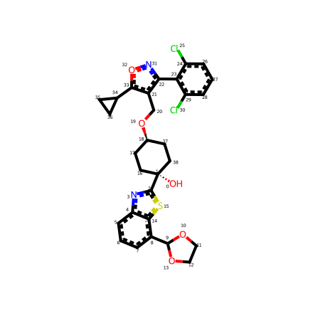 O[C@]1(c2nc3cccc(C4OCCO4)c3s2)CC[C@@H](OCc2c(-c3c(Cl)cccc3Cl)noc2C2CC2)CC1